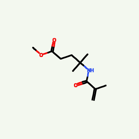 C=C(C)C(=O)NC(C)(C)CCC(=O)OC